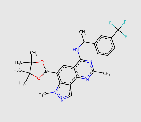 Cc1nc(NC(C)c2cccc(C(F)(F)F)c2)c2cc(B3OC(C)(C)C(C)(C)O3)c3c(cnn3C)c2n1